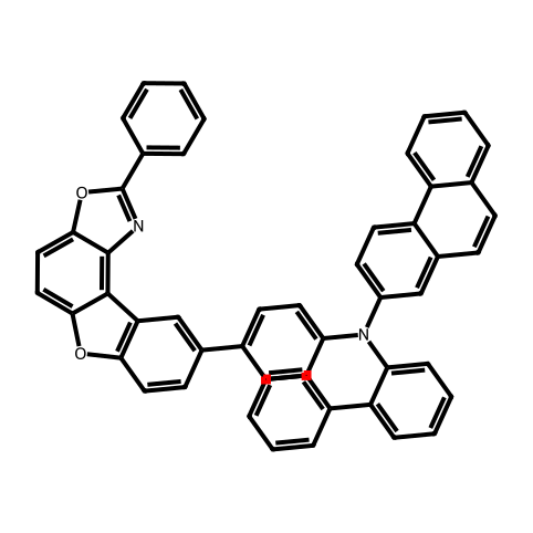 c1ccc(-c2nc3c(ccc4oc5ccc(-c6ccc(N(c7ccc8c(ccc9ccccc98)c7)c7ccccc7-c7ccccc7)cc6)cc5c43)o2)cc1